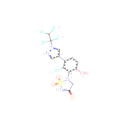 O=C1CN(c2c(O)ccc(-c3cnn(C(F)(F)C(F)F)c3)c2F)S(=O)(=O)N1